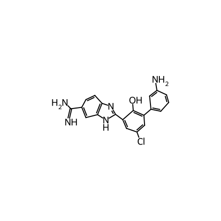 N=C(N)c1ccc2nc(-c3cc(Cl)cc(-c4cccc(N)c4)c3O)[nH]c2c1